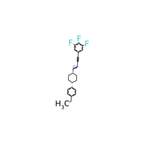 CCc1ccc([C@H]2CC[C@H](/C=C/C#Cc3cc(F)c(F)c(F)c3)CC2)cc1